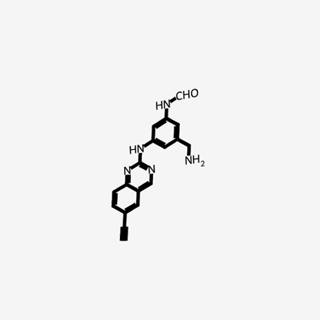 C#Cc1ccc2nc(Nc3cc(CN)cc(NC=O)c3)ncc2c1